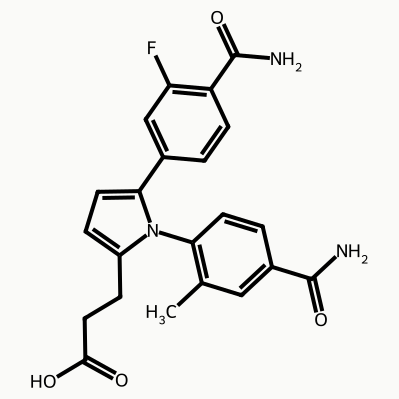 Cc1cc(C(N)=O)ccc1-n1c(CCC(=O)O)ccc1-c1ccc(C(N)=O)c(F)c1